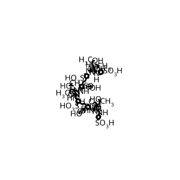 CC(O)CN(CC(C)O)c1nc(Nc2ccc(S(=O)(=O)O)cc2)nc(Nc2ccc(/C=C/c3ccc(Nc4nc(Nc5ccc(/C=C/c6ccc(Nc7nc(Nc8ccc(S(=O)(=O)O)cc8)nc(N(CC(C)O)CC(C)O)n7)cc6S(=O)(=O)O)c(SOOO)c5)nc(N(CC(C)O)CC(C)O)n4)cc3S(=O)(=O)O)c(SOOO)c2)n1